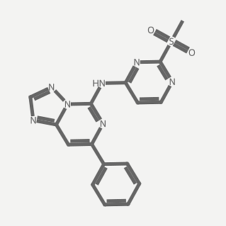 CS(=O)(=O)c1nccc(Nc2nc(-c3ccccc3)cc3ncnn23)n1